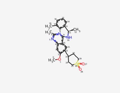 COc1cc2nc(C)nc(N[C@H](C)c3cccc(C)c3)c2cc1C1CCS(=O)(=O)CC1